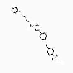 CS(=O)(=O)c1ccc(COc2ccc(-c3cn(C(=O)NCCCOc4cnoc4)cn3)cc2)cc1